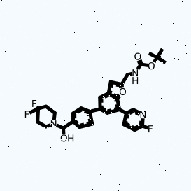 CC(C)(C)OC(=O)NCc1cc2cc(-c3ccc(C(O)N4CCC(F)(F)CC4)cc3)cc(-c3ccc(F)nc3)c2o1